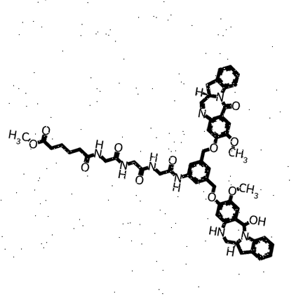 COC(=O)CCCCC(=O)NCC(=O)NCC(=O)NCC(=O)Nc1cc(COc2cc3c(cc2OC)C(=O)N2c4ccccc4C[C@H]2C=N3)cc(COc2cc3c(cc2OC)C(O)N2c4ccccc4C[C@H]2CN3)c1